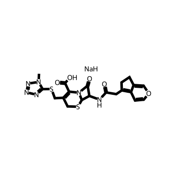 Cn1nnnc1SCC1=C(C(=O)O)N2C(=O)C(NC(=O)CC3=C4C=COC=C4CC3)C2SC1.[NaH]